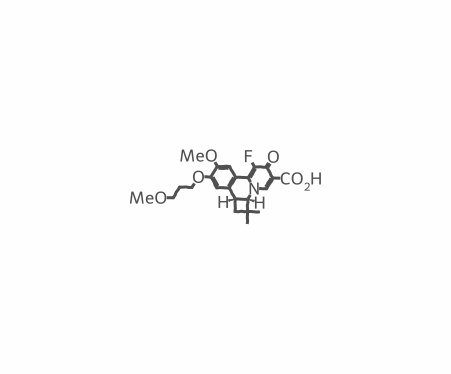 COCCCOc1cc2c(cc1OC)-c1c(F)c(=O)c(C(=O)O)cn1[C@H]1[C@@H]2CC1(C)C